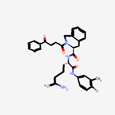 C=C(N)CCC[C@H](NC(=O)[C@@H]1Cc2ccccc2CN1C(=O)CCC(=O)c1ccccc1)C(=O)Nc1ccc(Cl)c(C)c1